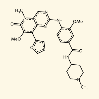 COc1cc(C(=O)NC2CCN(C)CC2)ccc1Nc1ncc2c(n1)c(-c1ccco1)c(OC)c(=O)n2C